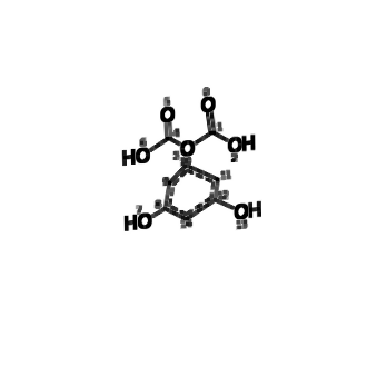 O=C(O)OC(=O)O.Oc1cccc(O)c1